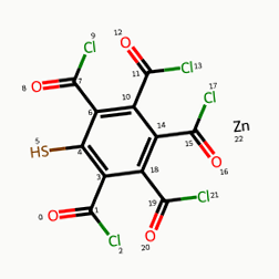 O=C(Cl)c1c(S)c(C(=O)Cl)c(C(=O)Cl)c(C(=O)Cl)c1C(=O)Cl.[Zn]